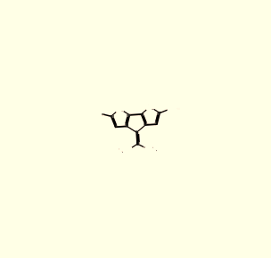 CC(C)(C)c1cc2c(s1)-c1sc(C(C)(C)C)cc1C2=C(C#N)C#N